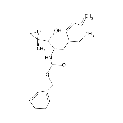 C=C/C=C\C(=C/C)C[C@H](NC(=O)OCc1ccccc1)[C@@H](O)[C@]1(C)CO1